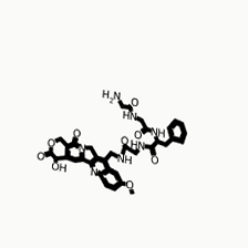 COc1ccc2nc3c(c(CNC(=O)CNC(=O)C(Cc4ccccc4)NC(=O)CNC(=O)CN)c2c1)Cn1c-3cc2c(c1=O)COC(=O)C2O